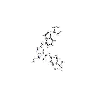 C=C/C=C(\C=C/COc1ncnc2c1ccn2C(CC)CC)NC(=O)Cc1ccc(C(F)(F)F)cc1